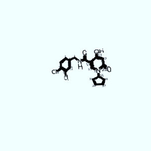 O=C(NCc1ccc(Cl)c(Cl)c1)c1cn(C2CCCC2)c(=O)cc1O